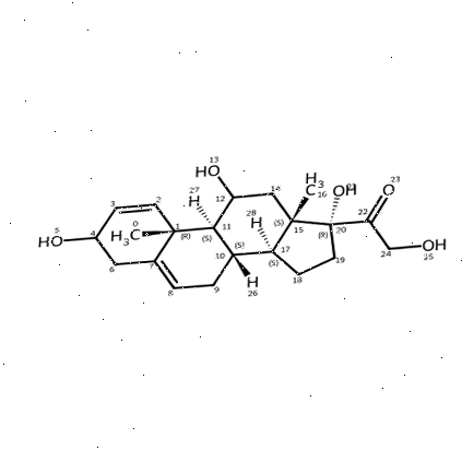 C[C@]12C=CC(O)CC1=CC[C@@H]1[C@@H]2C(O)C[C@@]2(C)[C@H]1CC[C@]2(O)C(=O)CO